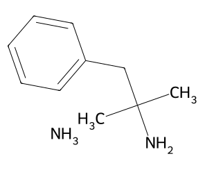 CC(C)(N)Cc1ccccc1.N